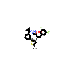 CC(=O)N[C@@H](Cc1cc(F)cc(F)c1)[C@H](O)CNC1(c2cccc(-c3ccc(C(C)=O)s3)c2)CC1